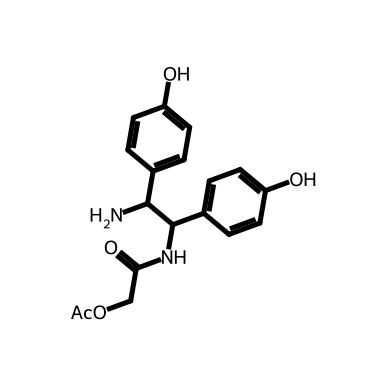 CC(=O)OCC(=O)NC(c1ccc(O)cc1)C(N)c1ccc(O)cc1